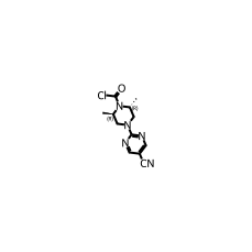 C[C@@H]1CN(c2ncc(C#N)cn2)C[C@@H](C)N1C(=O)Cl